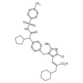 CCCCc1nc(Cl)c(C=C(CC2CCCCC2)C(=O)O)n1Cc1ccc(C(C(=O)NS(=O)(=O)c2ccc(C)cc2)C2CCCC2)cc1